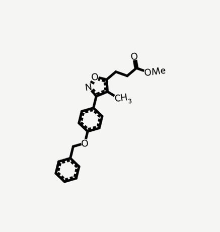 COC(=O)CCc1onc(-c2ccc(OCc3ccccc3)cc2)c1C